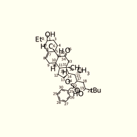 CC[C@]1(O)CC[C@@]2(C)C(=CC[C@H]3[C@@H]4CC[C@H]([C@H](C)C(CC(O)C(C)(C)C)S(=O)(=O)c5ccccc5)[C@@]4(C)CC(=O)[C@@H]32)C1